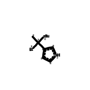 CCCCC(C)(CC)c1cc[nH]c1